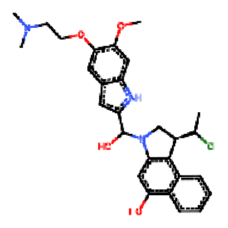 COc1cc2[nH]c(C(O)N3C[C@@H](C(C)Cl)c4c3cc(O)c3ccccc43)cc2cc1OCCN(C)C